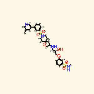 CNS(=O)(=O)c1cccc(OC[C@@H](O)CNC2COC3(CCN(S(=O)(=O)c4cccc(-c5cncc(C)c5)c4)CC3)C2)c1